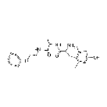 Cc1cc(O)cc(C)c1CC(N)C(=O)N[C@H](C)C(=O)NCCOc1ccccc1